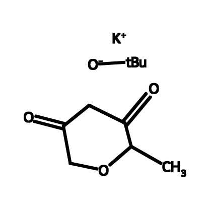 CC(C)(C)[O-].CC1OCC(=O)CC1=O.[K+]